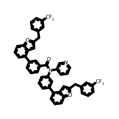 O=C(c1cccc(-c2cccc3oc(Cc4cccc(C(F)(F)F)c4)cc23)c1)N(c1cccnc1)c1cccc(-c2cccc3oc(Cc4cccc(C(F)(F)F)c4)cc23)c1